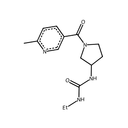 CCNC(=O)NC1CCN(C(=O)c2ccc(C)nc2)C1